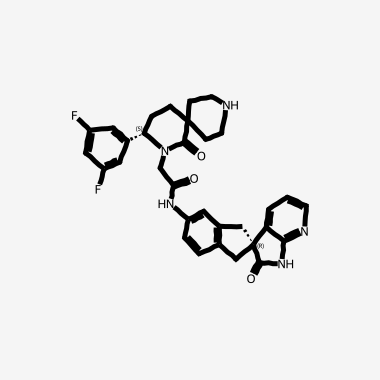 O=C(CN1C(=O)C2(CCNCC2)CC[C@H]1c1cc(F)cc(F)c1)Nc1ccc2c(c1)C[C@@]1(C2)C(=O)Nc2ncccc21